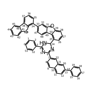 c1ccc(C2=NC(c3ccc4ccc(-c5ccccc5)cc4c3)=NC(c3cccc4oc5cc(-c6cccc7c6sc6ccccc67)ccc5c34)N2)cc1